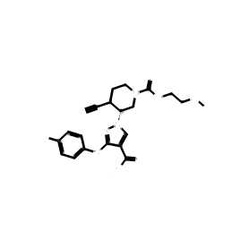 C#CC1CCN(C(=O)OCCOC)C[C@H]1n1cc(C(N)=O)c(Nc2ccc(F)cc2)n1